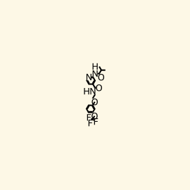 CC(C)C(=O)Nc1cc(C(=O)NCCOc2cccc(OC(F)(F)F)c2)ccn1